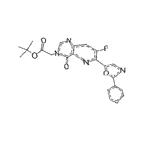 CC(C)(C)OC(=O)Cn1cnc2cc(F)c(-c3cnc(-c4ccccc4)o3)nc2c1=O